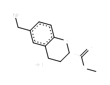 COC(=O)[C@@H]1CCc2cc(CN)ccc2O1.Cl